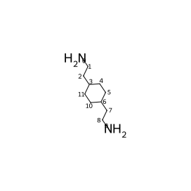 NCCC1CCC(CCN)CC1